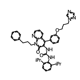 CC(C)c1cccc(C(C)C)c1NC(=O)Nc1c(-c2cccc(OCCCn3cncn3)c2)c2cccnc2n(CCCc2ccccc2)c1=O